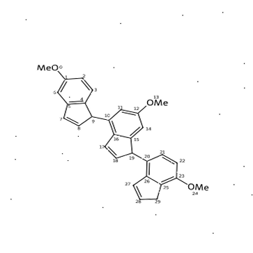 COc1ccc2c(c1)C=CC2c1cc(OC)cc2c1C=CC2c1ccc(OC)c2c1C=CC2